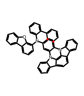 c1ccc(-c2ccccc2N(c2ccc3c(c2)n2c4ccccc4c4ccc5c6ccccc6n3c5c42)c2cccc3c2oc2ccccc23)cc1